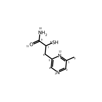 Cc1cncc(CC(S)C(N)=O)n1